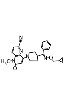 Cn1c(=O)cc(N2CCC(/C(=N/OCC3CC3)c3ccccc3)CC2)c2nc(C#N)ccc21